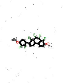 CCCCOc1ccc(-c2ccc3c(c2F)C(F)C(F)c2c-3ccc(OCC)c2F)c(F)c1F